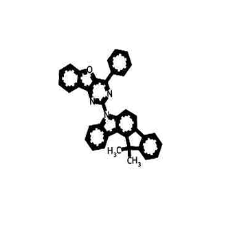 CC1(C)c2ccccc2-c2ccc3c(c21)c1ccccc1n3-c1nc(-c2ccccc2)c2oc3ccccc3c2n1